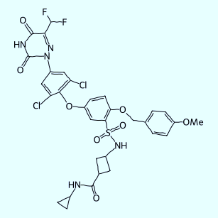 COc1ccc(COc2ccc(Oc3c(Cl)cc(-n4nc(C(F)F)c(=O)[nH]c4=O)cc3Cl)cc2S(=O)(=O)NC2CC(C(=O)NC3CC3)C2)cc1